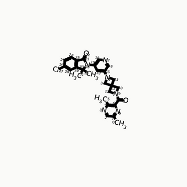 Cc1cnc(C)c(C(=O)N2CC3(C2)CN(c2cncc(N4C(=O)c5ccc(Cl)cc5C4(C)C)c2)C3)n1